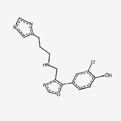 Oc1ccc(-c2ocnc2CNCCCn2cncn2)cc1Cl